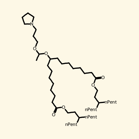 CCCCCC(CCCCC)CCOC(=O)CCCCCCCC(CCCCCCCC(=O)OCCC(CCCCC)CCCCC)OC(C)OCCCN1CCCC1